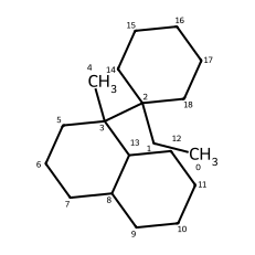 CCC1(C2(C)CCCC3CCCCC32)CCCCC1